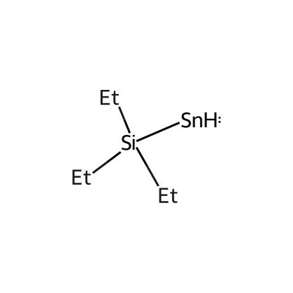 CC[Si]([SnH])(CC)CC